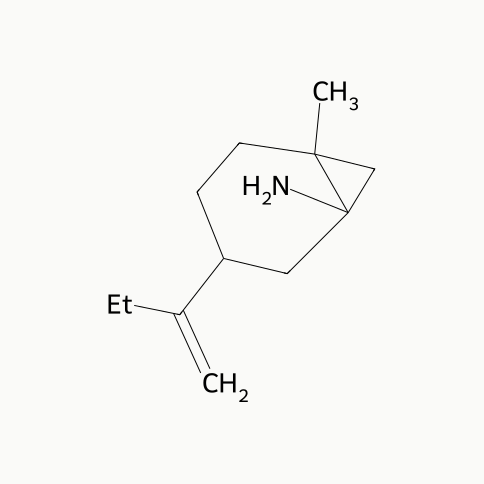 C=C(CC)C1CCC2(C)CC2(N)C1